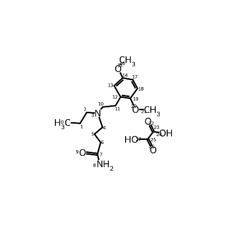 CCCN(CCCC(N)=O)CCc1cc(OC)ccc1OC.O=C(O)C(=O)O